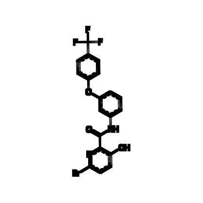 O=C(Nc1cccc(Oc2ccc(C(F)(F)F)cc2)c1)c1nc(Br)ccc1O